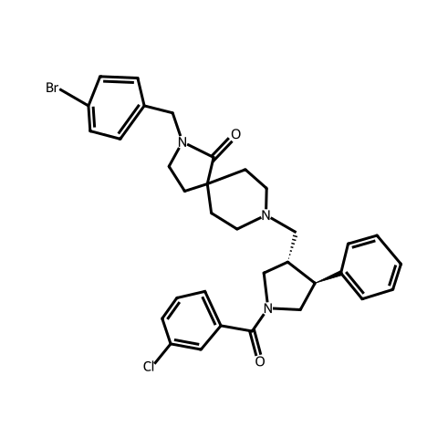 O=C(c1cccc(Cl)c1)N1C[C@H](CN2CCC3(CC2)CCN(Cc2ccc(Br)cc2)C3=O)[C@@H](c2ccccc2)C1